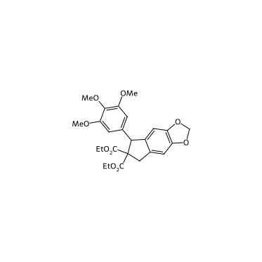 CCOC(=O)C1(C(=O)OCC)Cc2cc3c(cc2C1c1cc(OC)c(OC)c(OC)c1)OCO3